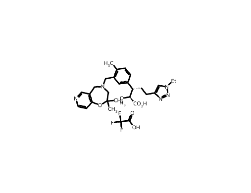 CCn1cc(CC[C@@H](c2ccc(C)c(CN3Cc4cnccc4OC(C)(C)C3)c2)[C@H](C)C(=O)O)nn1.O=C(O)C(F)(F)F